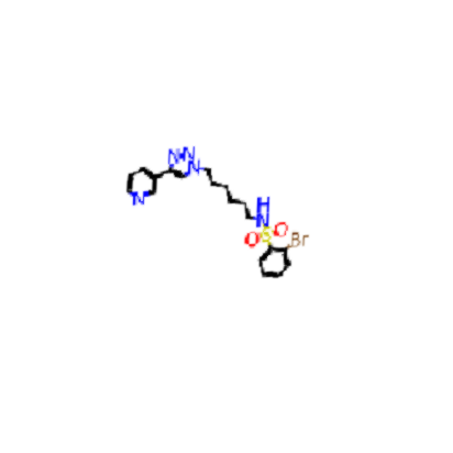 O=S(=O)(NCCCCCCn1cc(-c2cccnc2)nn1)c1ccccc1Br